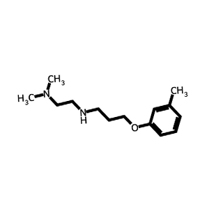 Cc1cccc(OCCCNCCN(C)C)c1